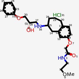 COCCNC(=O)COc1ccc2c(c1)CC(NC[C@H](O)COc1ccccc1)CCC2.Cl